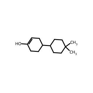 CC1(C)CCC(C2CC=C(O)CC2)CC1